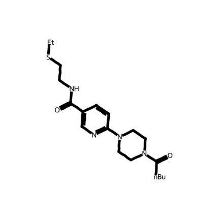 CCCCC(=O)N1CCN(c2ccc(C(=O)NCCSCC)cn2)CC1